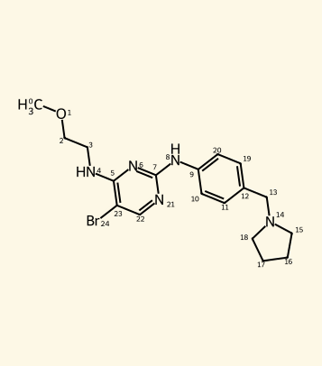 COCCNc1nc(Nc2ccc(CN3CCCC3)cc2)ncc1Br